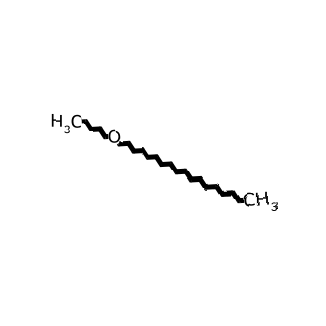 CCCCCCCCCCCCCCCCCCOCCCCC